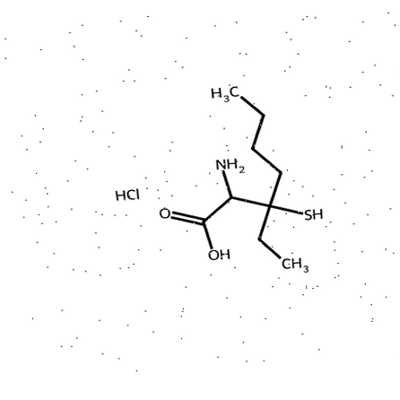 CCCCC(S)(CC)C(N)C(=O)O.Cl